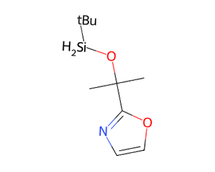 CC(C)(C)[SiH2]OC(C)(C)c1ncco1